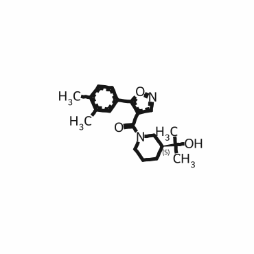 Cc1ccc(-c2oncc2C(=O)N2CCC[C@H](C(C)(C)O)C2)cc1C